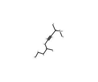 [CH2]CCC(C)CC#CC(C)SC